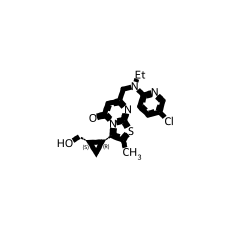 CCN(Cc1cc(=O)n2c([C@@H]3C[C@@H]3CO)c(C)sc2n1)c1ccc(Cl)cn1